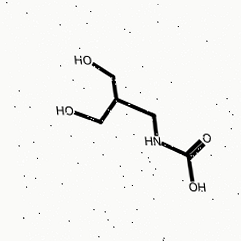 O=C(O)NCC(CO)CO